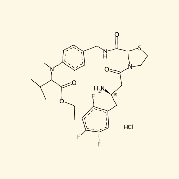 CCOC(=O)C(C(C)C)N(C)c1ccc(CNC(=O)C2SCCN2C(=O)C[C@H](N)Cc2cc(F)c(F)cc2F)cc1.Cl